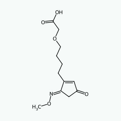 CON=C1CC(=O)C=C1CCCCOCC(=O)O